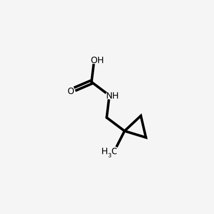 CC1(CNC(=O)O)CC1